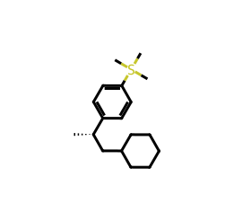 C[C@@H](CC1CCCCC1)c1ccc(S(C)(C)C)cc1